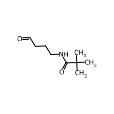 CC(C)(C)C(=O)NCCCC=O